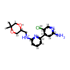 CC1(C)COC(CNc2cccc(-c3cc(N)ncc3Cl)n2)CO1